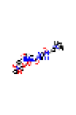 C=CC(=O)NCc1ccc(C(=O)Nc2ccccc2Oc2ccc(OCCOCCNC(=O)Cn3ccc4cc(C(=O)NCCc5ccc(N6C[C@H]7CC[C@@H](C6)N7)cc5)cnc43)cc2)cc1